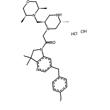 C[C@@H]1CN(CC(=O)N2CC(C)(C)c3ncc(Cc4ccc(F)cc4)cc32)[C@@H](CN2[C@H](C)COC[C@@H]2C)CN1.Cl.Cl